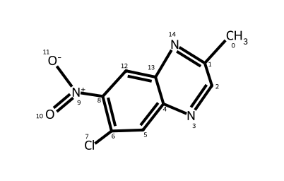 Cc1cnc2cc(Cl)c([N+](=O)[O-])cc2n1